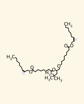 CCCCCC/C=C\COC(=O)CCCCCCCOCC(CC(C)(C)C)OCCCCCCCC(=O)OC/C=C\CCCCCC